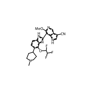 COc1ncc2c(C#N)c[nH]c2c1-c1nc2c(OC(F)C(F)F)c(C3CCN(C)CC3)ccc2[nH]1